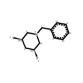 F[C@H]1C[C@@H](I)CN(Cc2ccccc2)C1